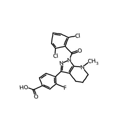 CN1CCCc2c(-c3ccc(C(=O)O)cc3F)nn(C(=O)c3c(Cl)cccc3Cl)c21